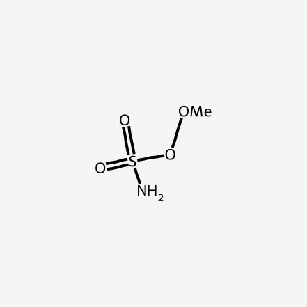 COOS(N)(=O)=O